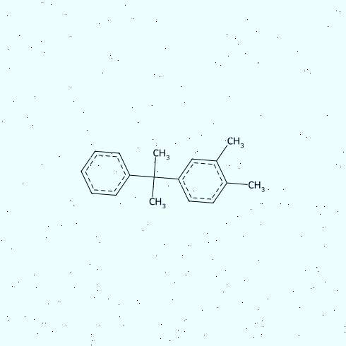 Cc1ccc(C(C)(C)c2ccccc2)cc1C